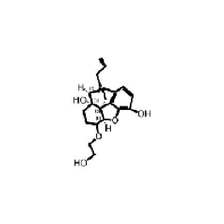 C=CCN1CC[C@]23c4c5ccc(O)c4O[C@H]2C(OCCO)CC[C@@]3(O)[C@H]1C5